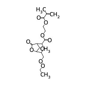 C=C(C)C(=O)OCCOC(=O)C1CC(COOCC)C2OC(=O)C1C2C